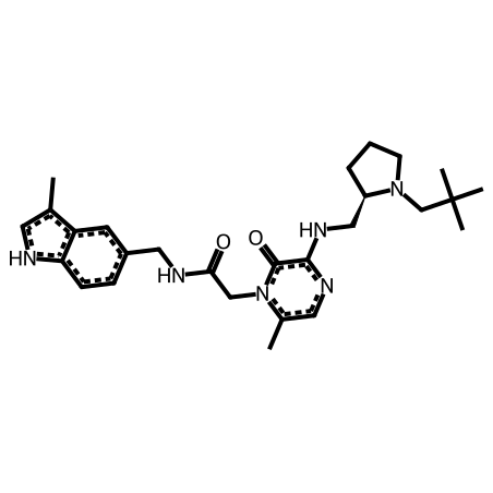 Cc1c[nH]c2ccc(CNC(=O)Cn3c(C)cnc(NC[C@H]4CCCN4CC(C)(C)C)c3=O)cc12